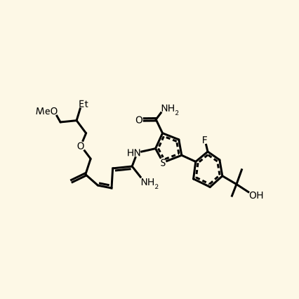 C=C(/C=C\C=C(/N)Nc1sc(-c2ccc(C(C)(C)O)cc2F)cc1C(N)=O)COCC(CC)COC